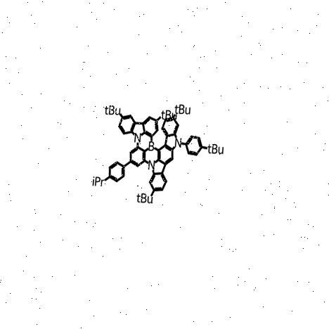 CC(C)c1ccc(-c2cc3c4c(c2)-n2c5cc(C(C)(C)C)ccc5c5cc6c(c(c52)B4c2cc(C(C)(C)C)cc4c5cc(C(C)(C)C)ccc5n-3c24)c2ccc(C(C)(C)C)cc2n6-c2ccc(C(C)(C)C)cc2)cc1